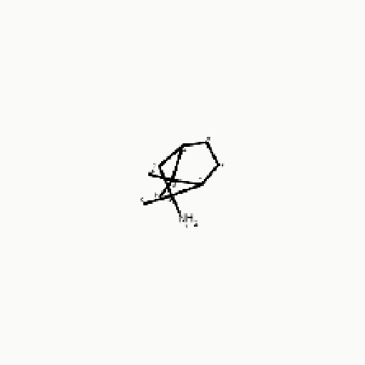 CC1(N)CC2CCC1C2(C)C